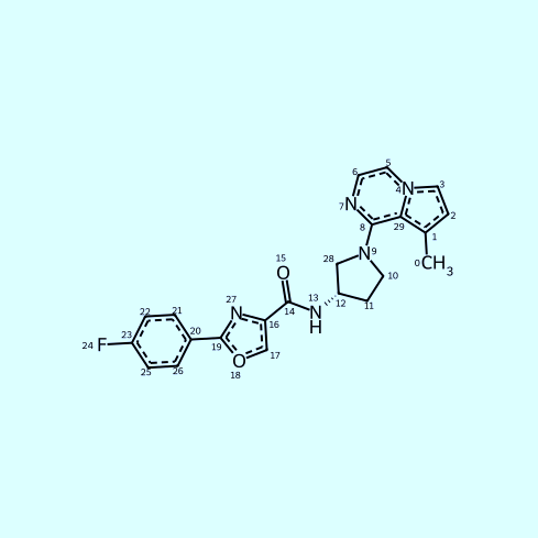 Cc1ccn2ccnc(N3CC[C@H](NC(=O)c4coc(-c5ccc(F)cc5)n4)C3)c12